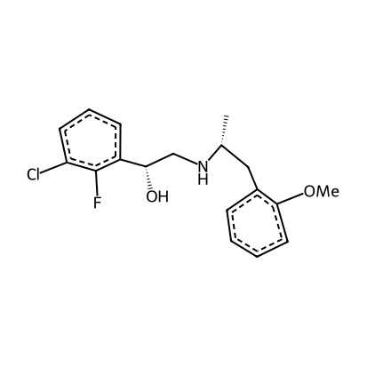 COc1ccccc1C[C@@H](C)NC[C@H](O)c1cccc(Cl)c1F